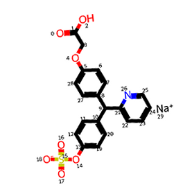 O=C(O)COc1ccc(C(c2ccc(OS(=O)(=O)[O-])cc2)c2ccccn2)cc1.[Na+]